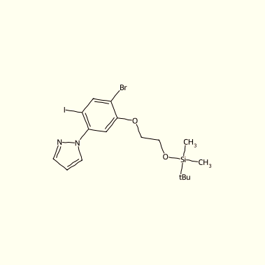 CC(C)(C)[Si](C)(C)OCCOc1cc(-n2cccn2)c(I)cc1Br